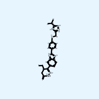 C=C1CC(CC)C(c2ccc3nc(-c4ccc(OCc5nc(C(C)C)no5)cc4)oc3c2)=NN1